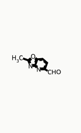 Cc1nc2nc(C=O)ccc2o1